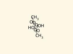 CCCC(=O)OCC1OC(O)CC(OC(=O)CCC)C1O